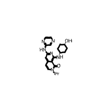 CC(C)n1ccc2cc(Nc3cnccn3)nc(N[C@H]3CC[C@@H](O)CC3)c2c1=O